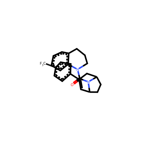 O=C(N1CCCc2ccccc21)N1C2C=C(c3ccc(C(F)(F)F)cc3)CC1CC2